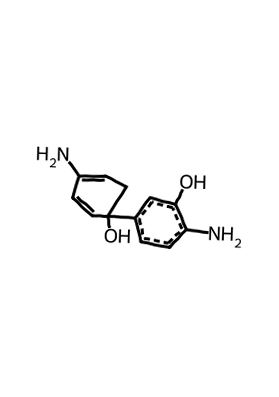 NC1=CCC(O)(c2ccc(N)c(O)c2)C=C1